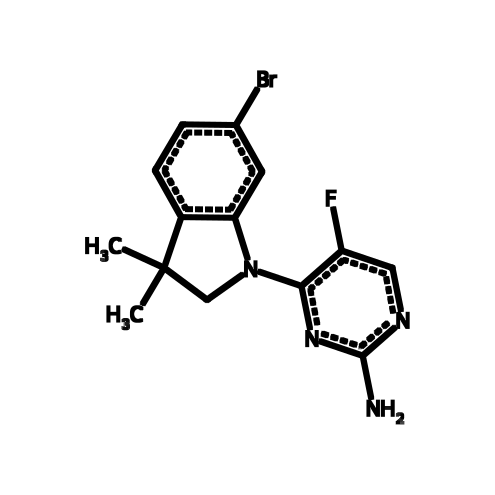 CC1(C)CN(c2nc(N)ncc2F)c2cc(Br)ccc21